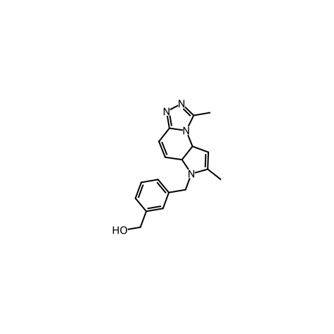 CC1=CC2C(C=Cc3nnc(C)n32)N1Cc1cccc(CO)c1